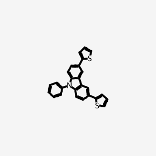 c1ccc(-n2c3ccc(-c4cccs4)cc3c3cc(-c4cccs4)ccc32)cc1